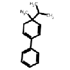 CC(C)C1(C)C=CC(c2ccccc2)=CC1